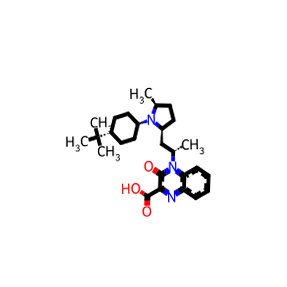 C[C@@H](C[C@@H]1CC[C@H](C)N1[C@H]1CC[C@H](C(C)(C)C)CC1)n1c(=O)c(C(=O)O)nc2ccccc21